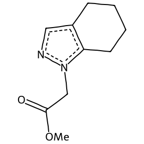 COC(=O)Cn1ncc2c1CCCC2